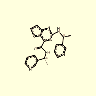 C[C@H](Nc1nc(C(=O)N[C@H](C)c2cccnc2)c2sccc2n1)c1cccnc1